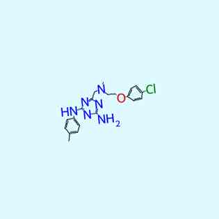 Cc1ccc(Nc2nc(N)nc(CN(C)CCOc3ccc(Cl)cc3)n2)cc1